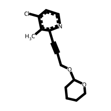 Cc1c(Cl)ccnc1C#CCOC1CCCCO1